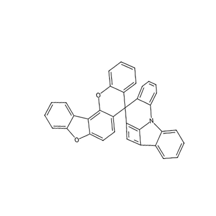 c1ccc2c(c1)Oc1c(ccc3oc4ccccc4c13)C21c2ccccc2-n2c3ccccc3c3cccc1c32